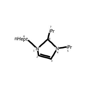 CCCCCCCN1C=CN(C(C)C)C1C(C)C